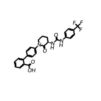 O=C(Nc1ccc(C(F)(F)F)cc1)N[C@@H]1CCCN(c2ccc(-c3ccccc3C(=O)O)cc2)C1=O